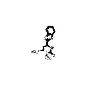 CC(C)(C)OC(=O)NC(CCC(=O)O)c1nc2ccccc2s1